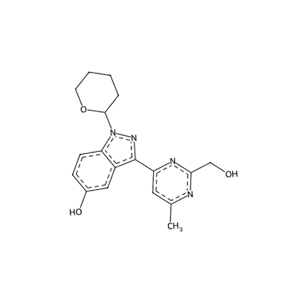 Cc1cc(-c2nn(C3CCCCO3)c3ccc(O)cc23)nc(CO)n1